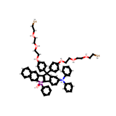 O=P1(c2ccccc2)C2=C(c3cc4ccccc4cc31)C(c1ccc(OCCOCCOCCS)cc1)(c1ccc(OCCOCCOCCS)cc1)c1cc(N(c3ccccc3)c3ccccc3)ccc12